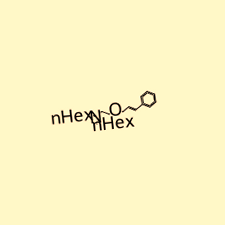 CCCCCCN(CCCCCC)CCOCC=Cc1ccccc1